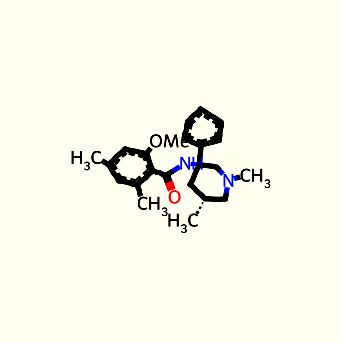 COc1cc(C)cc(C)c1C(=O)N[C@]1(c2ccccc2)C[C@@H](C)CN(C)C1